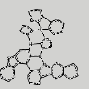 c1ccc2c(c1)-c1ccccc1[Si]21c2ccccc2N2c3cc4sc5ccccc5c4c4c3B(c3cccc1c32)n1c2cc3ccccc3cc2c2cccc-4c21